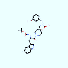 CC(C)(C)OC(=O)NC(Cc1c[nH]c2ccccc12)C(=O)N1CCC2(CC1)CN(Cc1cccc(Br)c1)C(=O)O2